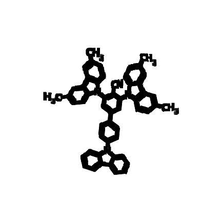 Cc1ccc2c(c1)c1cc(C)ccc1n2-c1cc(-c2ccc(-n3c4ccccc4c4ccccc43)cc2)cc(-n2c3ccc(C)cc3c3cc(C)ccc32)c1C#N